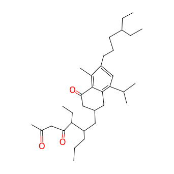 CCCC(CC1CC(=O)c2c(C)c(CCCC(CC)CC)cc(C(C)C)c2C1)C(CC)C(=O)CC(C)=O